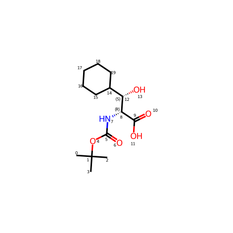 CC(C)(C)OC(=O)N[C@@H](C(=O)O)[C@@H](O)C1CCCCC1